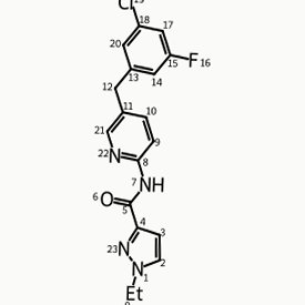 CCn1ccc(C(=O)Nc2ccc(Cc3cc(F)cc(Cl)c3)cn2)n1